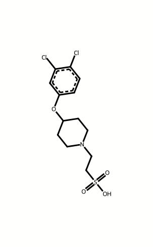 O=S(=O)(O)CCN1CCC(Oc2ccc(Cl)c(Cl)c2)CC1